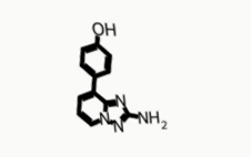 Nc1nc2c(-c3ccc(O)cc3)cccn2n1